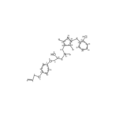 C=CCOc1ccc(OCC(O)CN(C)Cc2c(C)nn(Cc3ccccc3Cl)c2C)cc1